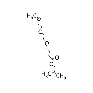 COCCOCCOCCCC(=O)OCC(C)C